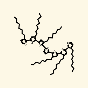 CCCCCCCCc1ccsc1-c1cc(CCCCCCCC)c(-c2cc(CCCCCCCC)c(-c3ccc(-c4sc(-c5sc(-c6sccc6CCCCCCCC)cc5CCCCCCCC)cc4CCCCCCCC)s3)s2)s1